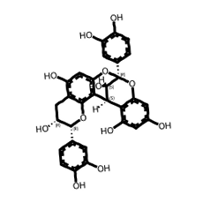 Oc1cc(O)c2c(c1)O[C@]1(c3ccc(O)c(O)c3)Oc3cc(O)c4c(c3[C@H]2[C@@H]1O)O[C@H](c1ccc(O)c(O)c1)[C@H](O)C4